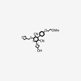 COCCOc1ccc(-c2c(C#N)c(SCC3COC3)nc(N3CC(O)C3)c2C#N)cc1